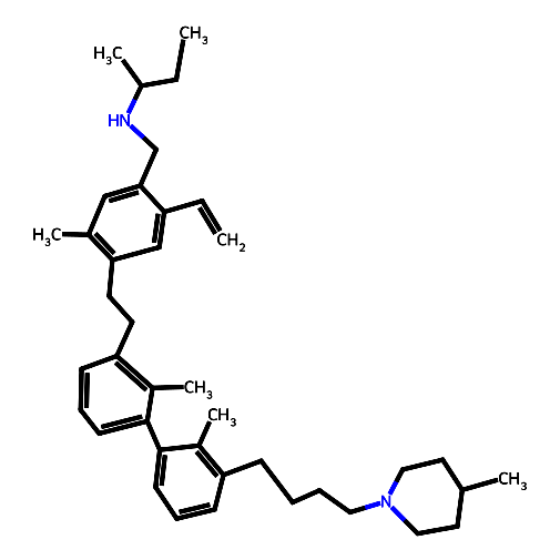 C=Cc1cc(CCc2cccc(-c3cccc(CCCCN4CCC(C)CC4)c3C)c2C)c(C)cc1CNC(C)CC